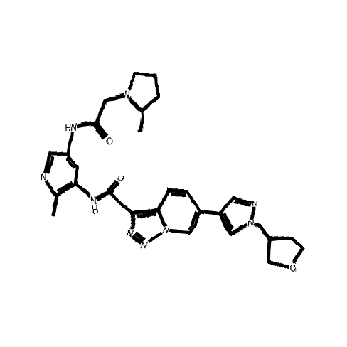 Cc1ncc(NC(=O)CN2CCC[C@H]2C)cc1NC(=O)c1nnn2cc(-c3cnn(C4CCOC4)c3)ccc12